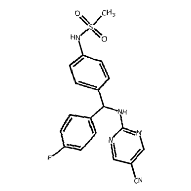 CS(=O)(=O)Nc1ccc(C(Nc2ncc(C#N)cn2)c2ccc(F)cc2)cc1